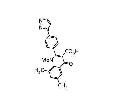 CNC(=C(C(=O)O)C(=O)c1cc(C)cc(C)c1)c1ccc(-n2ccnn2)cc1